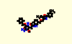 Cc1cccc(-c2nc(COCC3CCCC(NC(=O)C[C@H](NC(=O)OCc4ccccc4)C(N)=O)C3)c(C)o2)c1